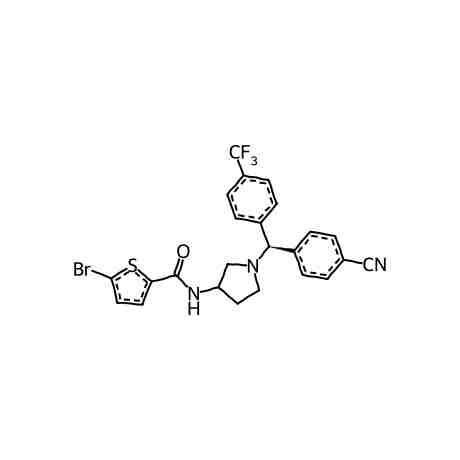 N#Cc1ccc([C@H](c2ccc(C(F)(F)F)cc2)N2CCC(NC(=O)c3ccc(Br)s3)C2)cc1